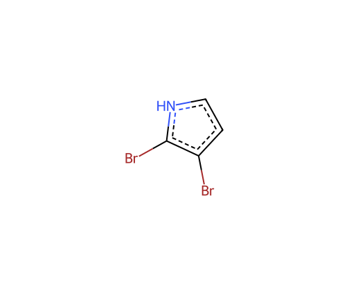 Brc1cc[nH]c1Br